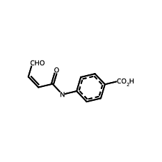 O=C/C=C\C(=O)[N]c1ccc(C(=O)O)cc1